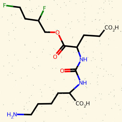 NCCCCC(NC(=O)NC(CCC(=O)O)C(=O)OCC(F)CCF)C(=O)O